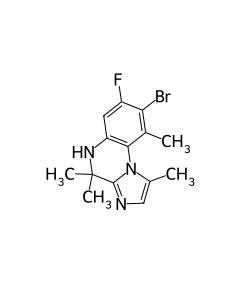 Cc1c(Br)c(F)cc2c1-n1c(C)cnc1C(C)(C)N2